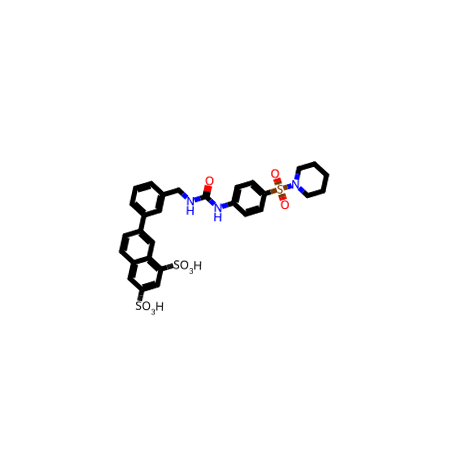 O=C(NCc1cccc(-c2ccc3cc(S(=O)(=O)O)cc(S(=O)(=O)O)c3c2)c1)Nc1ccc(S(=O)(=O)N2CCCCC2)cc1